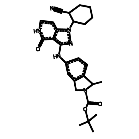 CC1c2ccc(Nc3nn(C4CCCCC4C#N)c4cc[nH]c(=O)c34)cc2CN1C(=O)OC(C)(C)C